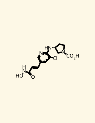 O=C(/C=C/c1cnc(N[C@@H]2CCN(C(=O)O)C2)c(Cl)c1)NO